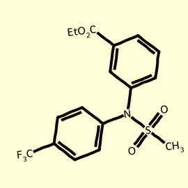 CCOC(=O)c1cccc(N(c2ccc(C(F)(F)F)cc2)S(C)(=O)=O)c1